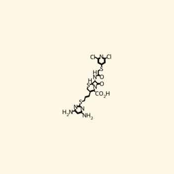 Nc1cc(N)nc(SC/C=C/C2=C(C(=O)O)N3C(=O)[C@@H](NC(=O)CSc4cc(Cl)nc(Cl)c4)[C@H]3SC2)n1